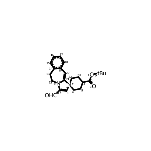 CC(C)(C)OC(=O)C1CC[N+]2(C=C(C=O)N3CCc4ccccc4C=C32)CC1